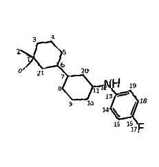 CC1(C)CCC[C](C2CCCC(Nc3ccc(F)cc3)C2)C1